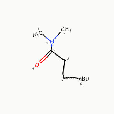 [CH2]CCCCCC(=O)N(C)C